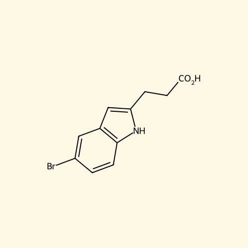 O=C(O)CCc1cc2cc(Br)ccc2[nH]1